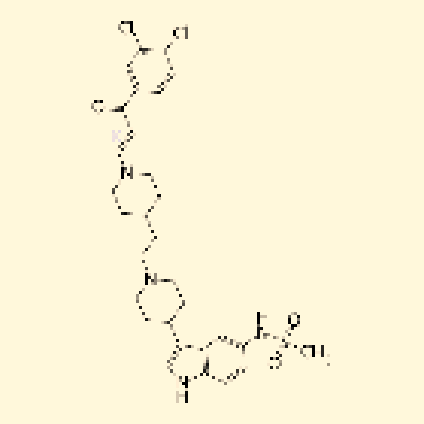 CS(=O)(=O)Nc1ccc2[nH]cc(C3CCN(CCC4CCN(/C=C/C(=O)c5ccc(Cl)c(Cl)c5)CC4)CC3)c2c1